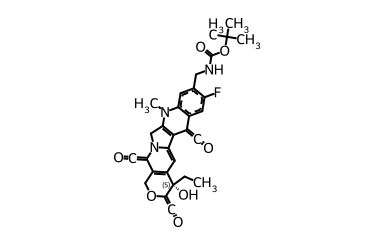 CC[C@@]1(O)C(=C=O)OCC2=C1C=C1C3=C(CN1C2=C=O)N(C)c1cc(CNC(=O)OC(C)(C)C)c(F)cc1C3=C=O